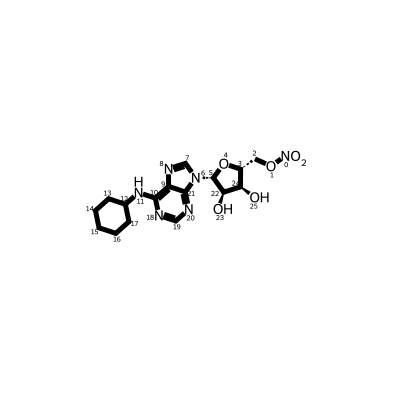 O=[N+]([O-])OC[C@H]1O[C@@H](n2cnc3c(NC4CCCCC4)ncnc32)[C@H](O)[C@@H]1O